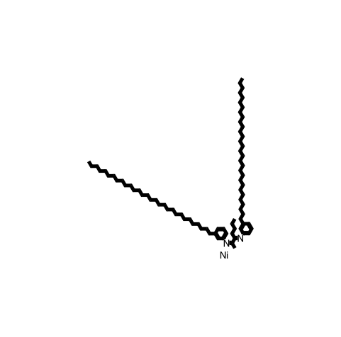 CCCCCCCCCCCCCCCCCCCCCCCCCCCCCCc1cccc(/N=C(C)\C(CCCC)=N\c2cccc(CCCCCCCCCCCCCCCCCCCCCCCCCCCCCC)c2)c1.[Ni]